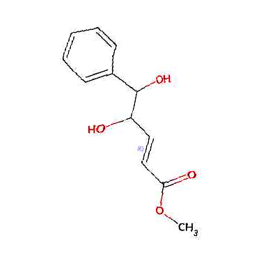 COC(=O)/C=C/C(O)C(O)c1ccccc1